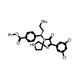 CC(C)OC(=O)c1ccc([C@@H](CCC(C)(C)C)N2C(=O)C(c3cc(Cl)cc(Cl)c3)=NC23CCNC3)cc1